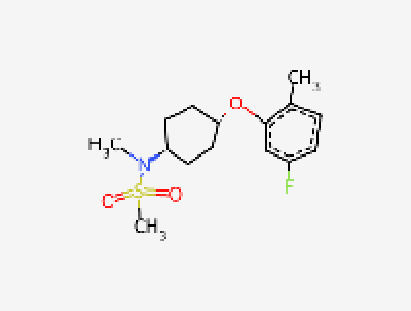 Cc1ccc(F)cc1O[C@H]1CC[C@H](N(C)S(C)(=O)=O)CC1